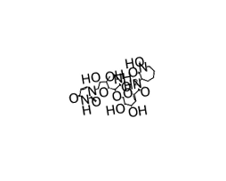 NC(=O)C(O[C@H]1OC(C(=O)NC2CCCCN(O)C2=O)=CC(O)C1O)[C@H]1O[C@@H](n2ccc(=O)[nH]c2=O)C(O)C1O